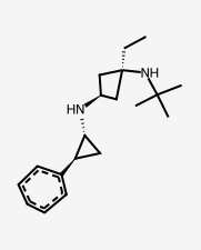 CC[C@]1(NC(C)(C)C)C[C@@H](N[C@@H]2C[C@H]2c2ccccc2)C1